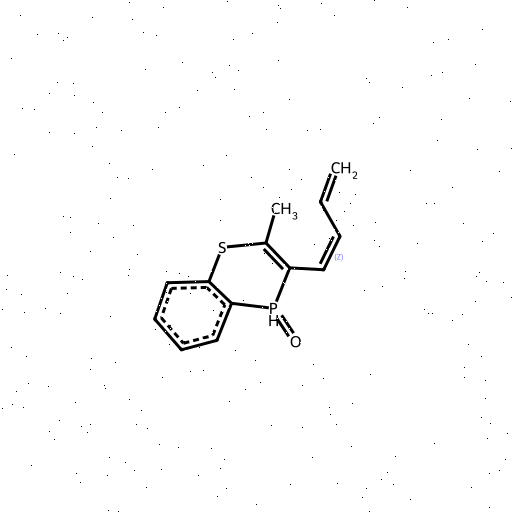 C=C/C=C\C1=C(C)Sc2ccccc2[PH]1=O